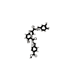 COC(=O)c1ccc(CNC(=O)c2c(Br)ccc3nc(C(=O)NCc4ccc(F)c(C)c4)cn23)cc1